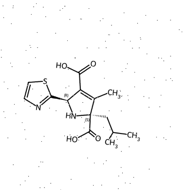 CC1=C(C(=O)O)[C@H](c2nccs2)N[C@]1(CC(C)C)C(=O)O